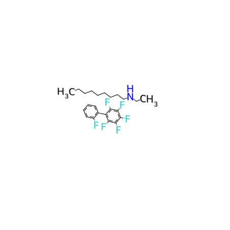 CCCCCCCCCNCC.Fc1ccccc1-c1c(F)c(F)c(F)c(F)c1F